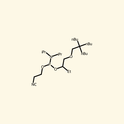 [C-]#[N+]CCOP(OC(CC)COCC(CCCC)(CCCC)CCCC)N(C(C)C)C(C)C